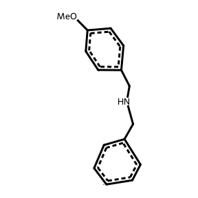 COc1ccc(CNCc2cc[c]cc2)cc1